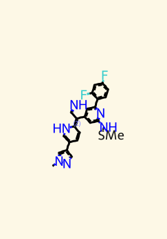 CSNc1cc(/C(C=N)=C2\C=CC(c3cnn(C)c3)=CN2)cc(-c2ccc(F)cc2F)n1